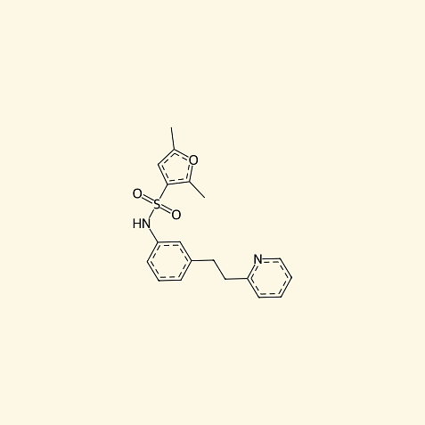 Cc1cc(S(=O)(=O)Nc2cccc(CCc3ccccn3)c2)c(C)o1